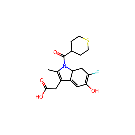 CC1=C(CC(=O)O)C2=CC(O)=C(F)CC2N1C(=O)C1CCSCC1